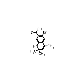 CC1=CC(C)(C)Nc2cc(C(=O)O)c(Br)cc21